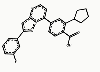 O=C(O)c1ccc(-c2ccnc3cc(-c4cccc(F)c4)nn23)cc1C1CCCC1